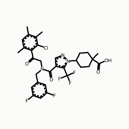 Cc1cc(C)c(C(=O)CN(Cc2cc(F)cc(F)c2)C(=O)c2cnn(C3CCC(C)(C(=O)O)CC3)c2C(F)(F)F)c(Cl)c1C